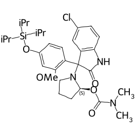 COc1cc(O[Si](C(C)C)(C(C)C)C(C)C)ccc1C1(N2CCC[C@@H]2OC(=O)N(C)C)C(=O)Nc2ccc(Cl)cc21